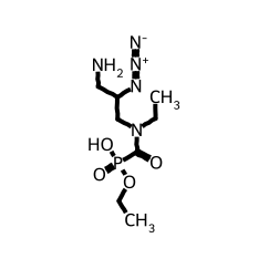 CCOP(=O)(O)C(=O)N(CC)CC(CN)N=[N+]=[N-]